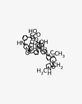 C=C(O)COc1c(C(=O)O)sc(-c2cccc(N[C@@H]3CCN(S(=O)(=O)Cc4cccc(NC(=O)N5CCC(c6ccc7c(c6)[C@H](C(C)C)CCC(=C)N7C6CCC(=C)NC6=O)CC5)c4)C(C)(C)C3)c2)c1Cl